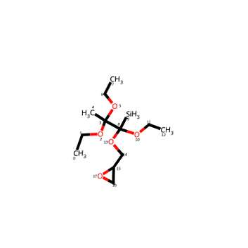 CCOC(C)(OCC)C([SiH3])(OCC)OCC1CO1